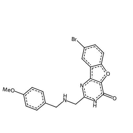 COc1ccc(CNCc2nc3c(oc4ccc(Br)cc43)c(=O)[nH]2)cc1